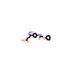 O=C(O)CC/C(=N/O)c1ccc(NC(=O)COc2ccccc2)cc1